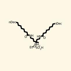 CCCCCCCCCCCCCCCCCC(=O)NCCCC(C)(N)CCNC(=O)CCCCCCCCCCCCCCCCC.CCOS(=O)(=O)O